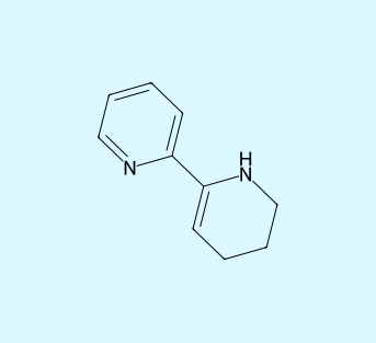 C1=C(c2ccccn2)NCCC1